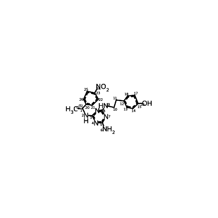 C[C@H](Nc1nc(N)nc(NCCc2ccc(O)cc2)n1)c1ccc([N+](=O)[O-])cc1